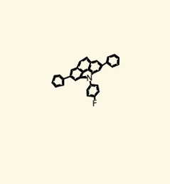 Fc1ccc(-n2c3cc(-c4ccccc4)cc4ccc5cc(-c6ccccc6)cc2c5c43)cc1